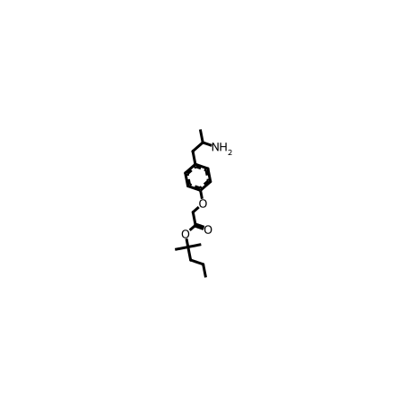 CCCC(C)(C)OC(=O)COc1ccc(CC(C)N)cc1